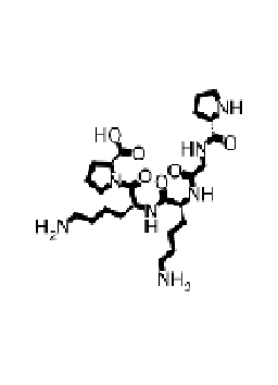 NCCCC[C@H](NC(=O)CNC(=O)[C@@H]1CCCN1)C(=O)N[C@@H](CCCCN)C(=O)N1CCC[C@H]1C(=O)O